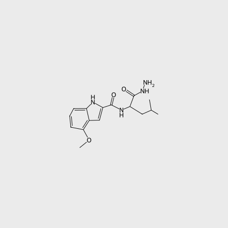 COc1cccc2[nH]c(C(=O)NC(CC(C)C)C(=O)NN)cc12